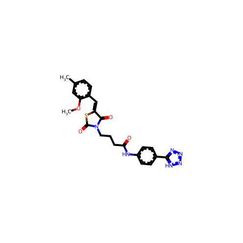 COc1cc(C)ccc1/C=C1\SC(=O)N(CCCC(=O)Nc2ccc(-c3nnn[nH]3)cc2)C1=O